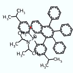 CC(C)c1ccc([P@@](=O)(c2ccc(C(C)C)cc2-c2c(-c3ccccc3)c(-c3ccccc3)c(-c3ccccc3)c3ccccc23)N(C(C)C)C(C)C)cc1